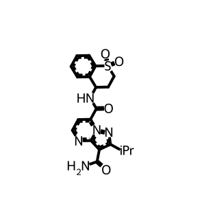 CC(C)c1nn2c(C(=O)NC3CCS(=O)(=O)c4ccccc43)ccnc2c1C(N)=O